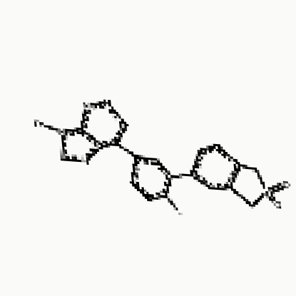 CCn1cnc2c(-c3ccc(F)c(-c4ccc5c(c4)CS(=O)(=O)C5)c3)cnnc21